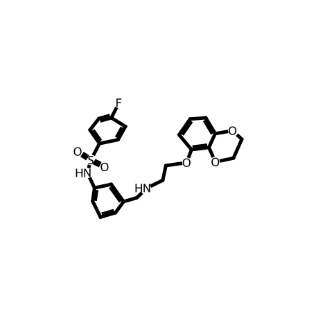 O=S(=O)(Nc1cccc(CNCCOc2cccc3c2OCCO3)c1)c1ccc(F)cc1